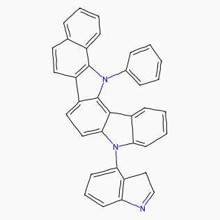 C1=Nc2cccc(-n3c4ccccc4c4c3ccc3c5ccc6ccccc6c5n(-c5ccccc5)c34)c2C1